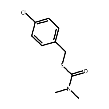 CN(C)C(=O)SCc1ccc(Cl)cc1